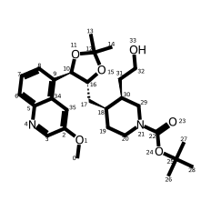 COc1cnc2cccc([C@H]3OC(C)(C)O[C@@H]3C[C@@H]3CCN(C(=O)OC(C)(C)C)C[C@@H]3CCO)c2c1